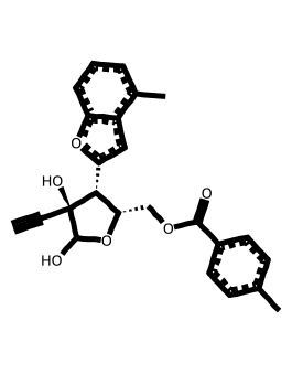 C#C[C@@]1(O)C(O)O[C@@H](COC(=O)c2ccc(C)cc2)[C@H]1c1cc2c(C)cccc2o1